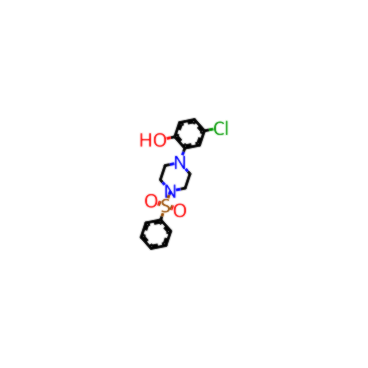 O=S(=O)(c1ccccc1)N1CCN(c2cc(Cl)ccc2O)CC1